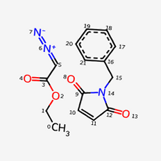 CCOC(=O)C=[N+]=[N-].O=C1C=CC(=O)N1Cc1ccccc1